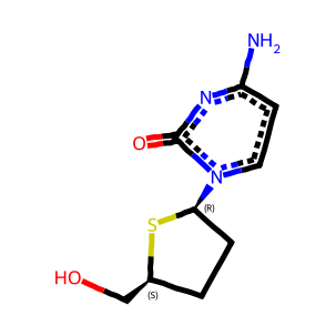 Nc1ccn([C@H]2CC[C@@H](CO)S2)c(=O)n1